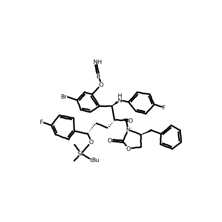 CC(C)(C)[Si](C)(C)O[C@@H](CC[C@@H](C(=O)N1C(=O)OC[C@@H]1Cc1ccccc1)[C@H](Nc1ccc(F)cc1)c1ccc(Br)cc1OB=N)c1ccc(F)cc1